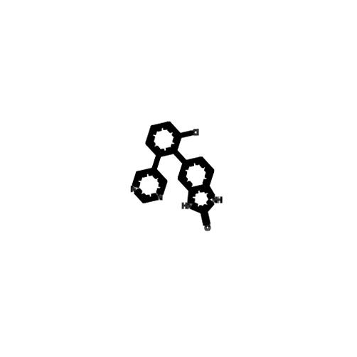 O=c1[nH]c2ccc(-c3c(Cl)cccc3-c3cncnc3)cc2[nH]1